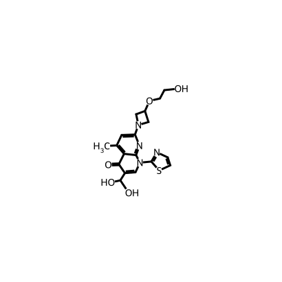 Cc1cc(N2CC(OCCO)C2)nc2c1c(=O)c(C(O)O)cn2-c1nccs1